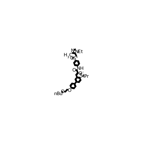 CCCCOCCOc1ccc(-c2ccc([S+]([O-])C(C)C)c(/C=C/C(=O)Nc3ccc([S+]([O-])Cc4c(C)ncn4CC)cc3)c2)cc1